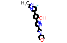 Cc1cn2cc(-c3ccc(-c4ccc(C5CN(C6CCOCC6)C5)nn4)c(O)c3)cc(F)c2n1